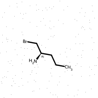 CCC[C@@H](N)CBr